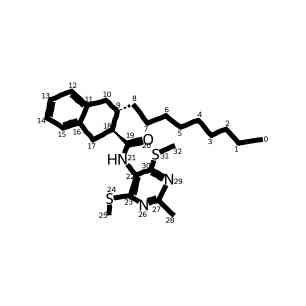 CCCCCCCCC[C@H]1Cc2ccccc2C[C@@H]1C(=O)Nc1c(SC)nc(C)nc1SC